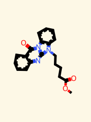 COC(=O)CCCCn1c2ccccc2n2c(=O)c3ccccc3nc12